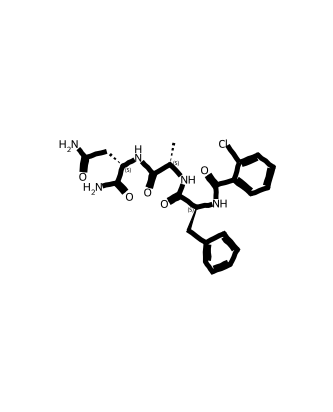 C[C@H](NC(=O)[C@H](Cc1ccccc1)NC(=O)c1ccccc1Cl)C(=O)N[C@@H](CC(N)=O)C(N)=O